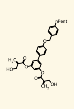 C=C(CO)C(=O)Oc1cc(OC(=O)C(=C)CO)cc(-c2ccc(OCc3ccc(CCCCC)cc3)cc2)c1